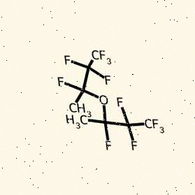 CC(F)(OC(C)(F)C(F)(F)C(F)(F)F)C(F)(F)C(F)(F)F